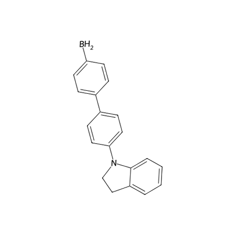 Bc1ccc(-c2ccc(N3CCc4ccccc43)cc2)cc1